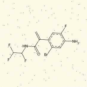 C=C(C(=O)NC(F)C(F)F)c1cc(F)c(N)cc1Br